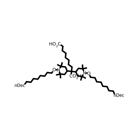 CCCCCCCCCCCCCCCCCCON1C(C)(C)CC(C(CCCCCCCC(=O)O)(C(=O)O)C2CC(C)(C)N(OCCCCCCCCCCCCCCCCCC)C(C)(C)C2)CC1(C)C